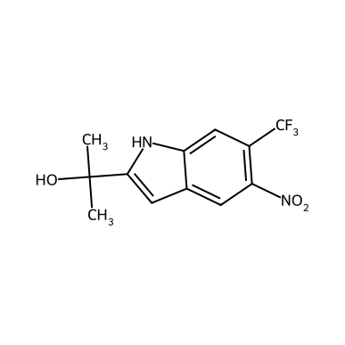 CC(C)(O)c1cc2cc([N+](=O)[O-])c(C(F)(F)F)cc2[nH]1